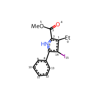 CCc1c(C(=O)OC)[nH]c(-c2ccccc2)c1I